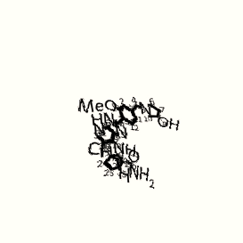 COc1cc(CN2CC[C@H](O)C2)ccc1-c1nc2c(N[C@H]3[C@@H](C(N)=O)[C@@H]4C=C[C@H]3C4)c(Cl)cnc2[nH]1